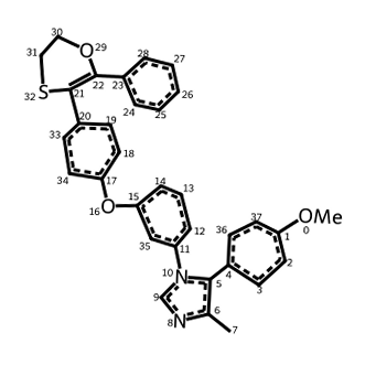 COc1ccc(-c2c(C)ncn2-c2cccc(Oc3ccc(C4=C(c5ccccc5)OCCS4)cc3)c2)cc1